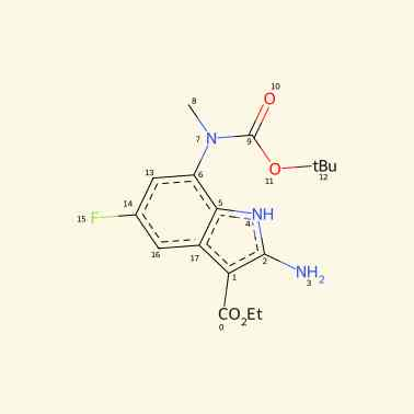 CCOC(=O)c1c(N)[nH]c2c(N(C)C(=O)OC(C)(C)C)cc(F)cc12